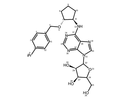 CC(C)c1ccc(CO[C@@H]2CCC[C@H]2Nc2ncnc3c2ncn3C2OC(CO)[C@@H](O)[C@H]2O)cc1